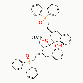 COCC1C(=CCP(=O)(c2ccccc2)c2ccccc2)Cc2ccccc2C1(O)C1(O)CC(=CCP(=O)(c2ccccc2)c2ccccc2)Cc2ccccc21